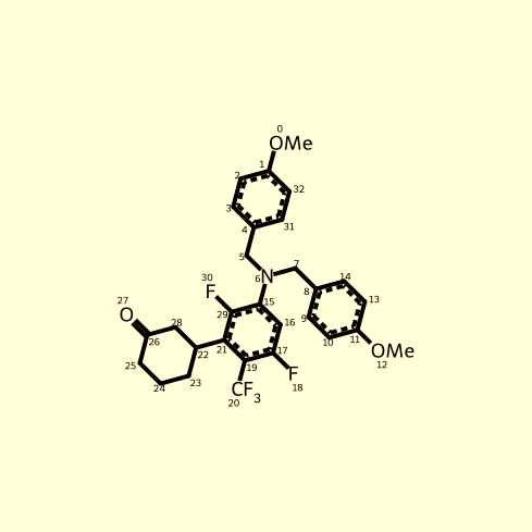 COc1ccc(CN(Cc2ccc(OC)cc2)c2cc(F)c(C(F)(F)F)c(C3CCCC(=O)C3)c2F)cc1